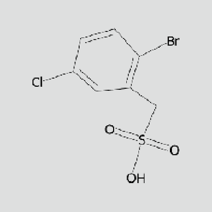 O=S(=O)(O)Cc1cc(Cl)ccc1Br